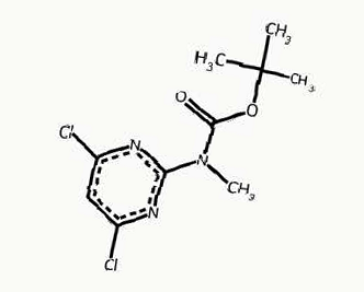 CN(C(=O)OC(C)(C)C)c1nc(Cl)cc(Cl)n1